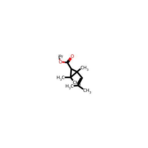 CC(C)=CC1(C)C(C(=O)OC(C)C)C1(C)C